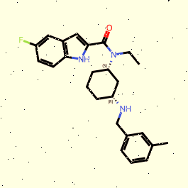 CCN(C(=O)c1cc2cc(F)ccc2[nH]1)[C@H]1CCC[C@@H](NCc2cccc(C)c2)C1